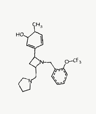 CC1C=CC(C2CC(CN3CCCC3)N2Cc2ccccc2OC(F)(F)F)=CC1O